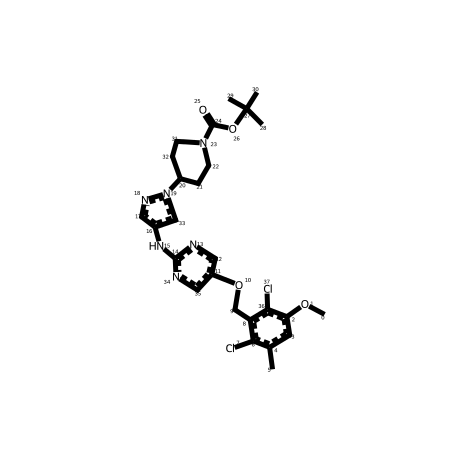 COc1cc(C)c(Cl)c(COc2cnc(Nc3cnn(C4CCN(C(=O)OC(C)(C)C)CC4)c3)nc2)c1Cl